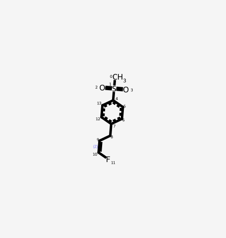 CS(=O)(=O)c1ccc(C/C=C\F)cc1